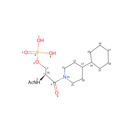 CC(=O)N[C@@H](COP(=O)(O)O)C(=O)N1CCC(C2CCCCC2)CC1